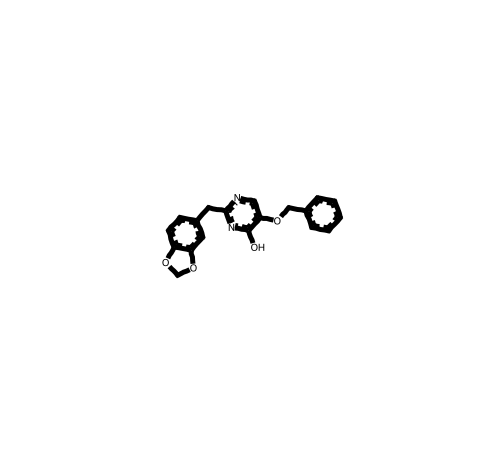 Oc1nc(Cc2ccc3c(c2)OCO3)ncc1OCc1ccccc1